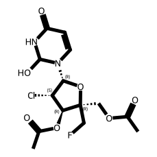 CC(=O)OC[C@@]1(CF)O[C@@H](N2C=CC(=O)NC2O)[C@@H](Cl)[C@@H]1OC(C)=O